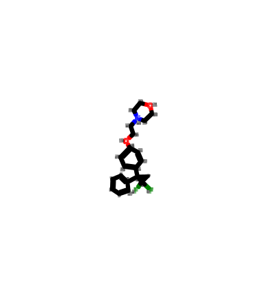 FC1(F)CC1(c1ccccc1)c1ccc(OCCN2CCOCC2)cc1